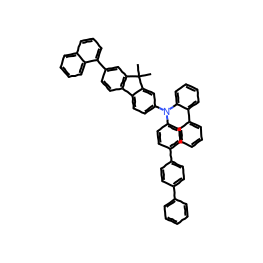 CC1(C)c2cc(-c3cccc4ccccc34)ccc2-c2ccc(N(c3ccc(-c4ccc(-c5ccccc5)cc4)cc3)c3ccccc3-c3ccccc3)cc21